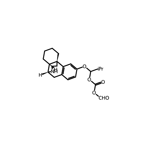 CC(C)C(OC(=O)OC=O)Oc1ccc2c(c1)[C@@]13CCCC[C@H]1[C@@H](C2)NCC3